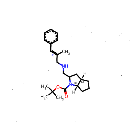 C/C(=C\c1ccccc1)CNCC1C[C@@H]2CCC[C@@H]2N1C(=O)OC(C)(C)C